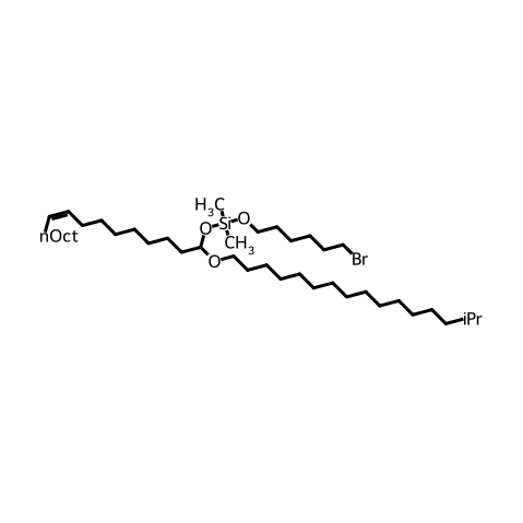 CCCCCCCC/C=C\CCCCCCCC(OCCCCCCCCCCCCCCC(C)C)O[Si](C)(C)OCCCCCCBr